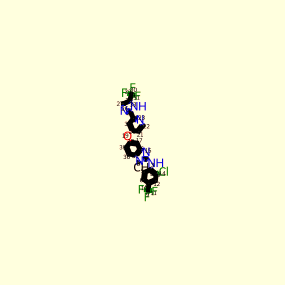 Cn1c(Nc2ccc(C(F)(F)F)cc2Cl)nc2cc(Oc3ccnc(C4=NCC(C(F)(F)F)N4)c3)ccc21